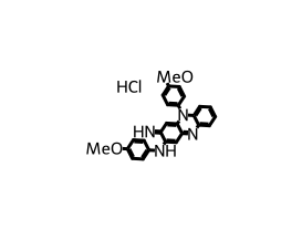 COc1ccc(Nc2cc3nc4ccccc4n(-c4ccc(OC)cc4)c-3cc2=N)cc1.Cl